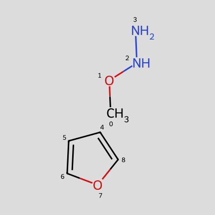 CONN.c1ccoc1